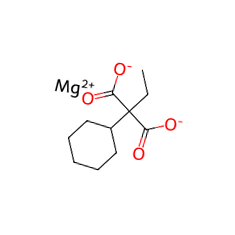 CCC(C(=O)[O-])(C(=O)[O-])C1CCCCC1.[Mg+2]